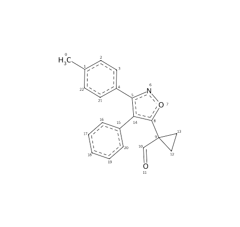 Cc1ccc(-c2noc(C3(C=O)CC3)c2-c2ccccc2)cc1